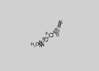 Cn1nnc(-c2ccc(-c3ccc(N4C[C@H](CN=[N+]=[N-])OC4=O)cc3F)cn2)n1